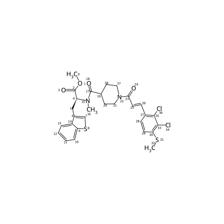 COC(=O)[C@H](Cc1csc2ccccc12)N(C)C(=O)C1CCN(C(=O)/C=C/c2ccc(SC)c(Cl)c2Cl)CC1